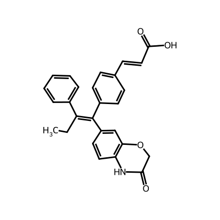 CC/C(=C(/c1ccc(/C=C/C(=O)O)cc1)c1ccc2c(c1)OCC(=O)N2)c1ccccc1